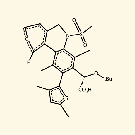 Cc1cc(C)c(-c2c(C)c3c(c(C)c2[C@H](OC(C)(C)C)C(=O)O)N(S(C)(=O)=O)Cc2cccc(F)c2-3)s1